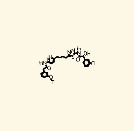 O=C(Cc1cccc(OCF)c1)Nc1ccc(CCCCc2nnc(NC(=O)C(O)c3cccc(Cl)c3)s2)nn1